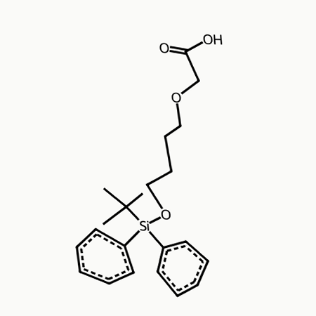 CC(C)(C)[Si](OCCCCOCC(=O)O)(c1ccccc1)c1ccccc1